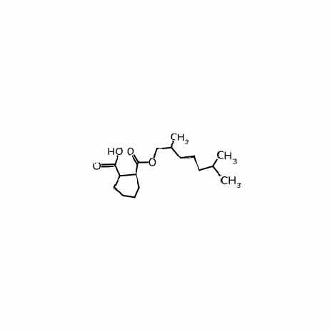 CC(C)CCCC(C)COC(=O)C1CCCCC1C(=O)O